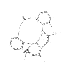 CC(C)c1cccc2c1-n1c(=O)[nH]c(=O)c3cc(F)c(nc31)-c1c(F)cccc1NC(=O)CN2